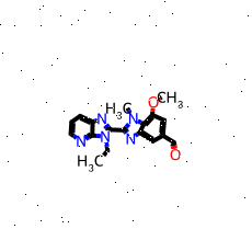 CCn1c(-c2nc3cc(C=O)cc(OC)c3n2C)nc2cccnc21